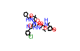 CCC[C@H](NC(=O)[C@@H]1C[C@]2(CC(c3cccc(Cl)c3)=NO2)CN1C(=O)[C@@H](NC(=O)CC1CCCCC1)C(C)(C)C)C(=O)C(=O)NC(C)c1cccc(OC)c1